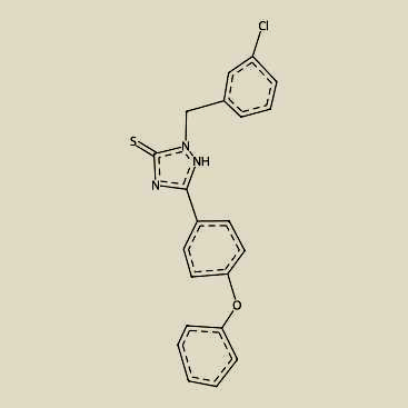 S=c1nc(-c2ccc(Oc3ccccc3)cc2)[nH]n1Cc1cccc(Cl)c1